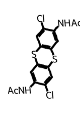 CC(=O)Nc1cc2c(cc1Cl)Sc1cc(NC(C)=O)c(Cl)cc1S2